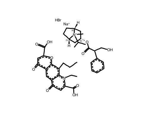 Br.CC(C)[N+]1(C)[C@@H]2CC[C@H]1C[C@@H](OC(=O)C(CO)c1ccccc1)C2.CCCc1c2oc(C(=O)O)cc(=O)c2cc2c(=O)cc(C(=O)O)n(CC)c12.[Na+]